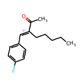 CCCCC/C(=C\c1ccc(F)cc1)C(C)=O